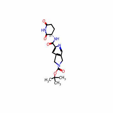 CC(C)(C)OC(=O)N1Cc2cnc(C(=O)N[C@H]3CCC(=O)NC3=O)cc2C1